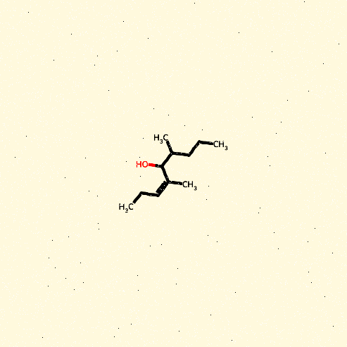 CCC=C(C)C(O)C(C)CCC